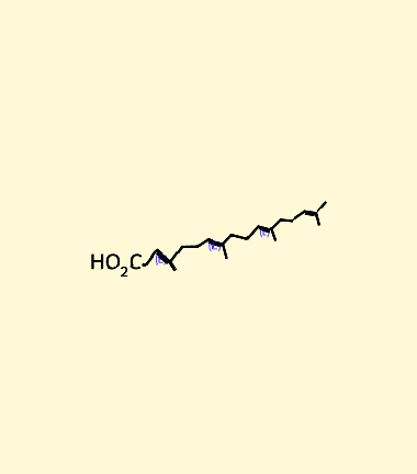 CC(C)=CCC/C(C)=C/CC/C(C)=C/CC/C(C)=C/CC(=O)O